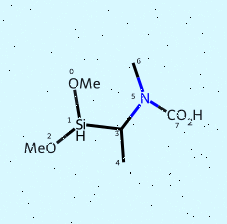 CO[SiH](OC)C(C)N(C)C(=O)O